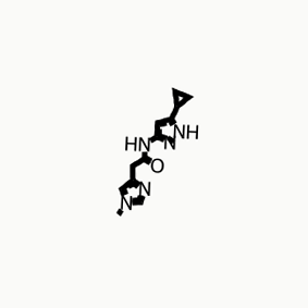 Cn1cnc(CC(=O)Nc2cc(C3CC3)[nH]n2)c1